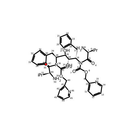 CC(C)[C@H](N)C(=O)N(C(=O)OCc1ccccn1)[C@@H](Cc1ccccc1)[C@H](O)[C@H](O)[C@H](Cc1ccccc1)N(C(=O)OCc1ccccn1)C(=O)[C@@H](N)C(C)C